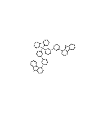 c1cc(-c2cccc(C3(c4cccc(-c5cccc(-c6cccc7sc8ccccc8c67)c5)c4)c4ccccc4-c4ccccc43)c2)cc(-c2cccc3c2sc2ccccc23)c1